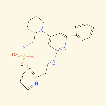 CS(=O)(=O)NCC1CCCCN1c1[c]c(NCCc2ccccn2)nc(-c2ccccc2)c1